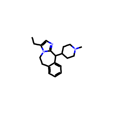 CCc1cnc2n1CCc1ccccc1C2C1CCN(C)CC1